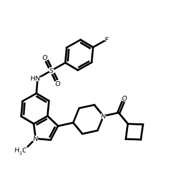 Cn1cc(C2CCN(C(=O)C3CCC3)CC2)c2cc(NS(=O)(=O)c3ccc(F)cc3)ccc21